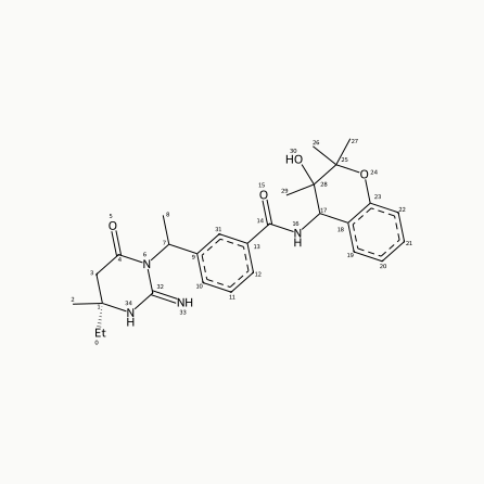 CC[C@]1(C)CC(=O)N(C(C)c2cccc(C(=O)NC3c4ccccc4OC(C)(C)C3(C)O)c2)C(=N)N1